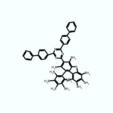 Bc1c(B)c(B)c(-c2c(B)c(-c3nc(-c4ccc(-c5ccccc5)cc4)nc(-c4ccc(-c5ccccc5)cc4)n3)c(B)c3sc4c(B)c(B)c(B)c(B)c4c23)c(B)c1B